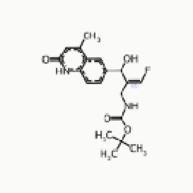 Cc1cc(=O)[nH]c2ccc(C(O)/C(=C\F)CNC(=O)OC(C)(C)C)cc12